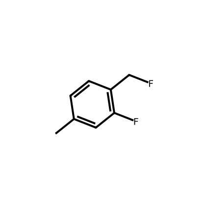 Cc1ccc(CF)c(F)c1